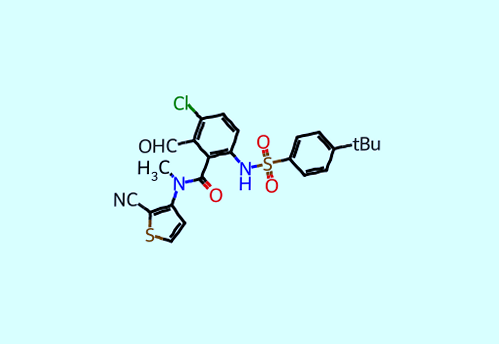 CN(C(=O)c1c(NS(=O)(=O)c2ccc(C(C)(C)C)cc2)ccc(Cl)c1C=O)c1ccsc1C#N